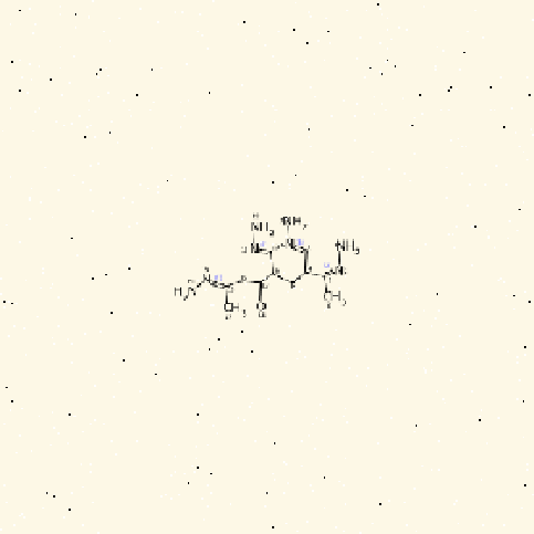 C/C(=N/N)C(/C=N/N)CC(/C=N/N)C(=O)C/C(C)=N/N